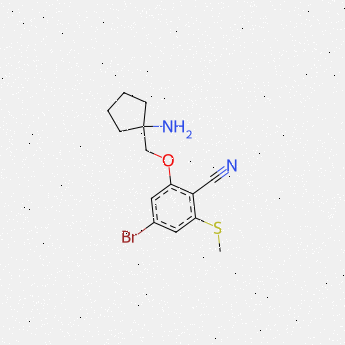 CSc1cc(Br)cc(OCC2(N)CCCC2)c1C#N